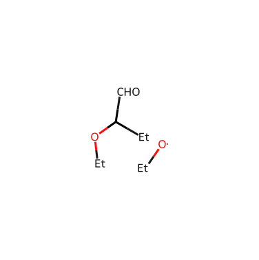 CCOC(C=O)CC.CC[O]